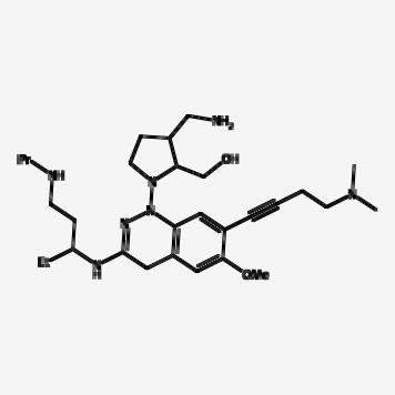 CCC(CCNC(C)C)NC1=NN(N2CCC(CN)C2CO)c2cc(C#CCCN(C)C)c(OC)cc2C1